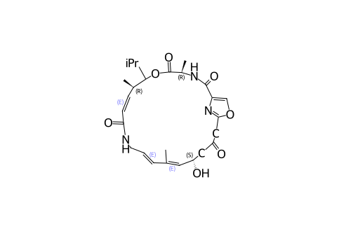 CC1=C\[C@@H](O)CC(=O)Cc2nc(co2)C(=O)N[C@H](C)C(=O)OC(C(C)C)[C@H](C)/C=C/C(=O)NC\C=C\1